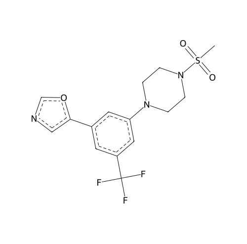 CS(=O)(=O)N1CCN(c2cc(-c3cnco3)cc(C(F)(F)F)c2)CC1